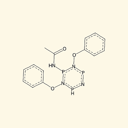 CC(=O)Np1n(Oc2ccccc2)pn[pH]n1Oc1ccccc1